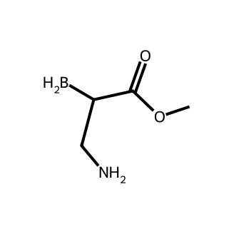 BC(CN)C(=O)OC